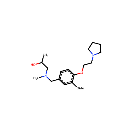 COc1cc(CN(C)CC(C)O)ccc1OCCN1CCCC1